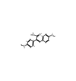 COc1ccc(C=C(C(=O)O)c2ccc(OC)cc2)cc1